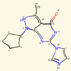 CCc1[nH]n(C2CCCC2)c2nc(-n3ccnc3)nc(=O)c1-2